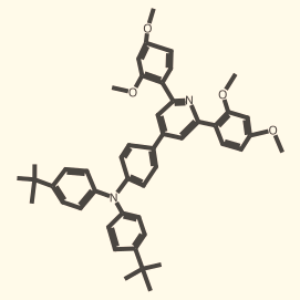 COc1ccc(-c2cc(-c3ccc(N(c4ccc(C(C)(C)C)cc4)c4ccc(C(C)(C)C)cc4)cc3)cc(-c3ccc(OC)cc3OC)n2)c(OC)c1